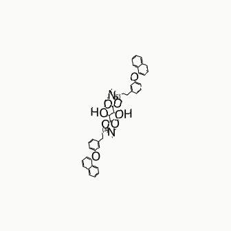 CN(C)[C@H](CCc1cccc(Oc2cccc3ccccc23)c1)OC(=O)C(O)C(O)C(=O)O[C@@H](CCc1cccc(Oc2cccc3ccccc23)c1)N(C)C